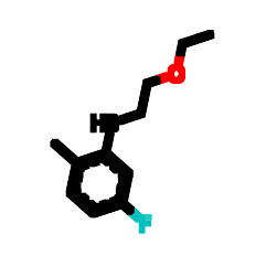 CCOCCBc1cc(F)ccc1C